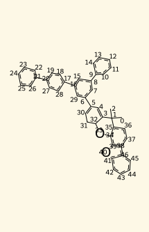 CC1(C)C2=CC(c3cc(-c4ccccc4)cc(-c4ccc(-c5ccccc5)cc4)c3)=CCC2Oc2c1ccc1c2oc2ccccc21